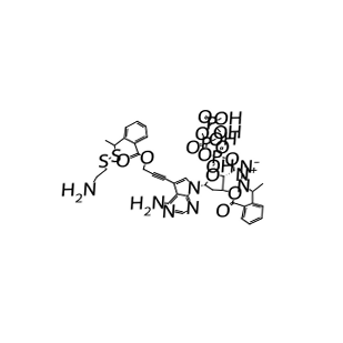 CC(N=[N+]=[N-])c1ccccc1C(=O)OC1C[C@H](n2cc(C#CCOC(=O)c3ccccc3C(C)SSCCN)c3c(N)ncnc32)O[C@@H]1COP(=O)(O)OP(=O)(O)OP(=O)(O)O